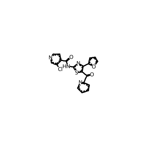 O=C(Nc1nc(-c2ccco2)c(C(=O)c2ccccn2)s1)c1ccncc1Cl